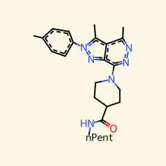 CCCCCNC(=O)C1CCN(c2nnc(C)c3c(C)n(-c4ccc(C)cc4)nc23)CC1